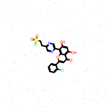 O=c1cc(-c2ccccc2Cl)oc2c(-c3cnc(CCS(=O)(=O)Cl)cn3)c(O)cc(O)c12